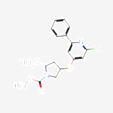 CC(C)(C)OC(=O)N1CC(Oc2cc(Cl)nc(-c3ccccc3)c2)C[C@H]1C(=O)O